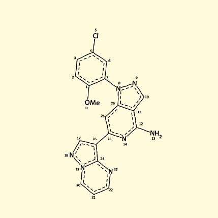 COc1ccc(Cl)cc1-n1ncc2c(N)nc(-c3cnn4cccnc34)cc21